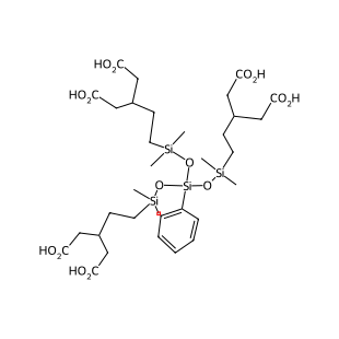 C[Si](C)(CCC(CC(=O)O)CC(=O)O)O[Si](O[Si](C)(C)CCC(CC(=O)O)CC(=O)O)(O[Si](C)(C)CCC(CC(=O)O)CC(=O)O)c1ccccc1